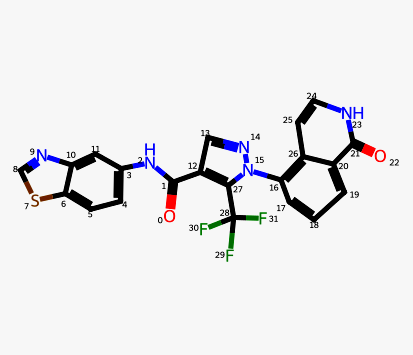 O=C(Nc1ccc2scnc2c1)c1cnn(-c2cccc3c(=O)[nH]ccc23)c1C(F)(F)F